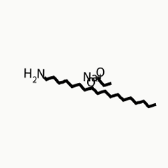 CCC(=O)[O-].CCCCCCCCCCCCCCCCCCN.[Na+]